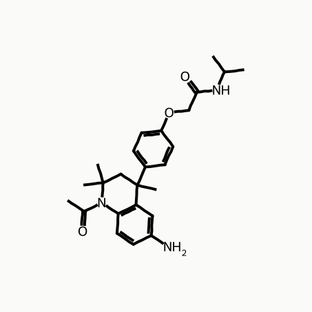 CC(=O)N1c2ccc(N)cc2C(C)(c2ccc(OCC(=O)NC(C)C)cc2)CC1(C)C